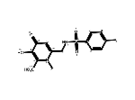 Cc1ccc(S(=O)(=O)NCc2cc(=O)c(O)c(C(=O)O)n2C)cc1